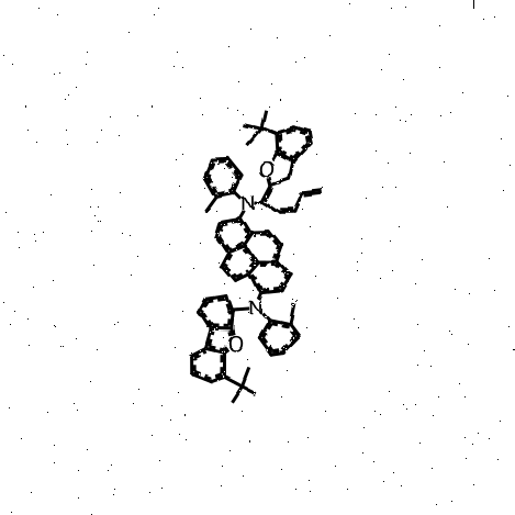 C=C/C=C\C(=C1/Cc2cccc(C(C)(C)C)c2O1)N(c1ccccc1C)c1ccc2ccc3c(N(c4ccccc4C)c4cccc5c4oc4c(C(C)(C)C)cccc45)ccc4ccc1c2c43